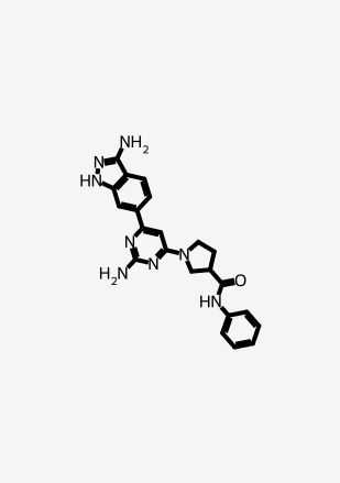 Nc1nc(-c2ccc3c(N)n[nH]c3c2)cc(N2CCC(C(=O)Nc3ccccc3)C2)n1